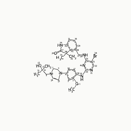 COc1cc(N2CCN(CC(C)(C)O)CC2)ccc1Nc1ncc(Br)c(NCc2cccc3c2C(C)(C)C(=O)N3)n1